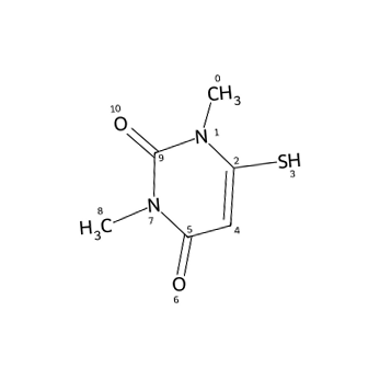 Cn1c(S)cc(=O)n(C)c1=O